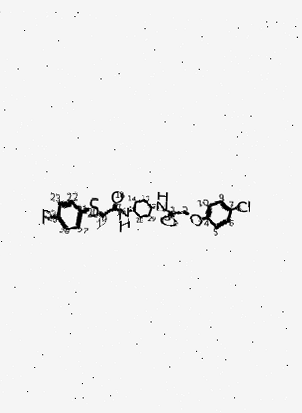 O=C(COc1ccc(Cl)cc1)N[C@H]1CC[C@H](NC(=O)CSc2ccc(F)cc2)CC1